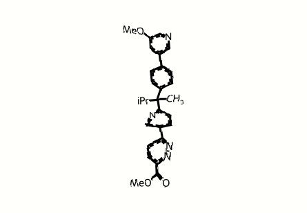 COC(=O)c1ccc(-c2ccc(C(C)(c3ccc(-c4cncc(OC)c4)cc3)C(C)C)nc2)nn1